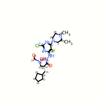 C[C@@H]1CN(c2nc(Cl)nc(NNC(=O)[C@H](CC3CCCC3)CN(O)C=O)c2F)CCN1C